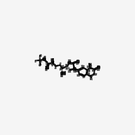 CC(C)(C)OC(=O)NCC[C@@H](O)[C@H]1CN(c2ccc3c(c2)NC(=O)CS3)C(=O)O1